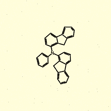 c1ccc(N(c2cccc3c2Cc2ccccc2-3)c2cccc3c2Cc2ccccc2-3)cc1